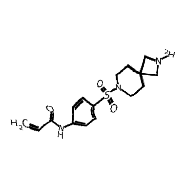 [2H]N1CC2(CCN(S(=O)(=O)c3ccc(NC(=O)C=C)cc3)CC2)C1